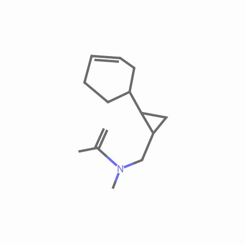 C=C(C)N(C)CC1CC1C1CC=CCC1